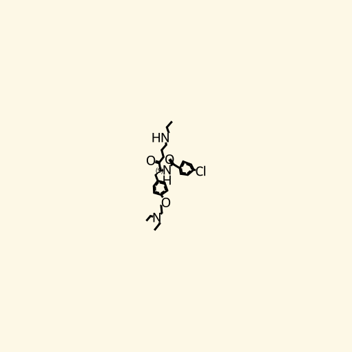 CCCNCCCC(=O)[C@H](Cc1ccc(OCCN(CC)CC)cc1)NC(=O)c1ccc(Cl)cc1